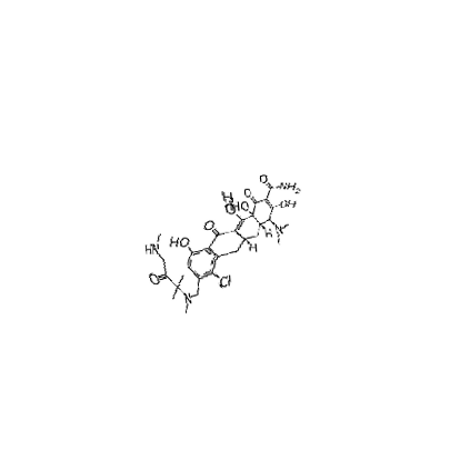 CNCC(=O)C(C)(C)N(C)Cc1cc(O)c2c(c1Cl)C[C@H]1C[C@H]3[C@H](N(C)C)C(O)=C(C(N)=O)C(=O)[C@@]3(O)C(O)=C1C2=O